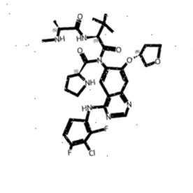 CN[C@@H](C)C(=O)N[C@H](C(=O)N(C(=O)[C@@H]1CCCN1)c1cc2c(Nc3ccc(F)c(Cl)c3F)ncnc2cc1O[C@@H]1CCOC1)C(C)(C)C